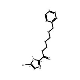 O=C(CCCCCCc1ccccc1)c1ncc(I)o1